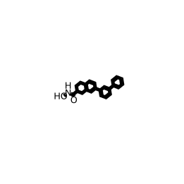 O=C(NO)C1CCc2ccc(-c3cccc(-c4ccccc4)c3)cc2C1